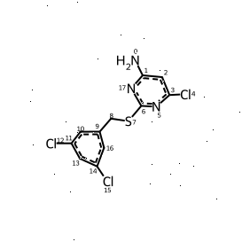 Nc1cc(Cl)nc(SCc2cc(Cl)cc(Cl)c2)n1